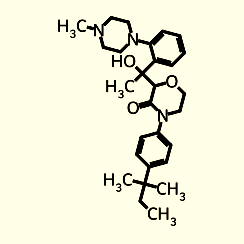 CCC(C)(C)c1ccc(N2CCOC(C(C)(O)c3ccccc3N3CCN(C)CC3)C2=O)cc1